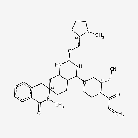 C=CC(=O)N1CCN(C2NC(OC[C@@H]3CCCN3C)NC3C[C@]4(CCC32)Cc2ccccc2C(=O)N4C)C[C@@H]1CC#N